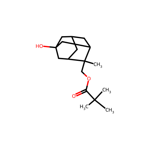 CC(C)(C)C(=O)OCC1(C)C2CC3CC1CC(O)(C3)C2